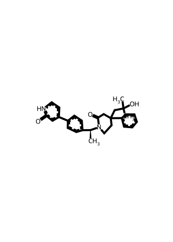 C[C@@H](c1ccc(-c2cc[nH]c(=O)c2)cc1)N1CCC(CC(C)(C)O)(c2ccccc2)CC1=O